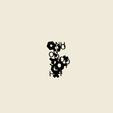 CC1=C[C@]23C(=O)[C@@H](C=C4COC(C)(C)O[C@H]4[C@]2(O)[C@H]1OC(=O)N1CC(=O)Nc2ccccc21)[C@H]1[C@@H](C[C@H]3C)C1(C)C